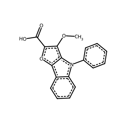 COc1c(C(=O)O)oc2c3ccccc3n(-c3ccccc3)c12